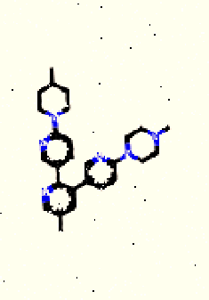 Cc1cnc(-c2ccc(N3CCC(C)CC3)nc2)c(-c2ccc(N3CCN(C)CC3)nc2)c1